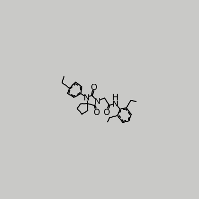 CCc1ccc(N2C(=O)N(CC(=O)Nc3c(CC)cccc3CC)C(=O)C23CCCC3)cc1